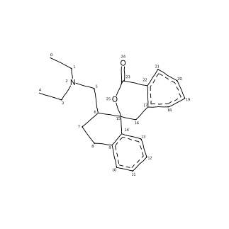 CCN(CC)CC1CCc2ccccc2C12Cc1ccccc1C(=O)O2